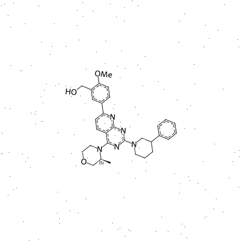 COc1ccc(-c2ccc3c(N4CCOC[C@@H]4C)nc(N4CCCC(c5ccccc5)C4)nc3n2)cc1CO